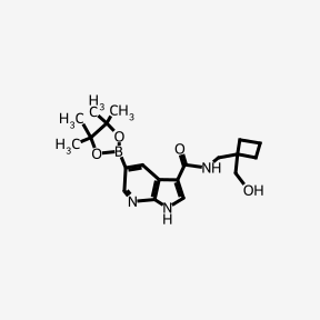 CC1(C)OB(c2cnc3[nH]cc(C(=O)NCC4(CO)CCC4)c3c2)OC1(C)C